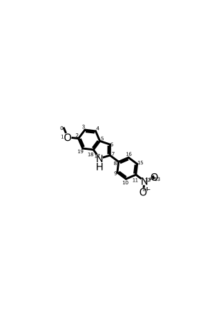 COc1ccc2cc(-c3ccc([N+](=O)[O-])cc3)[nH]c2c1